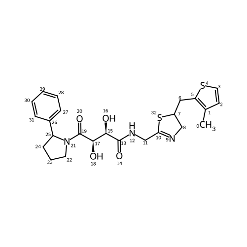 Cc1ccsc1CC1CN=C(CNC(=O)[C@H](O)[C@@H](O)C(=O)N2CCCC2c2ccccc2)S1